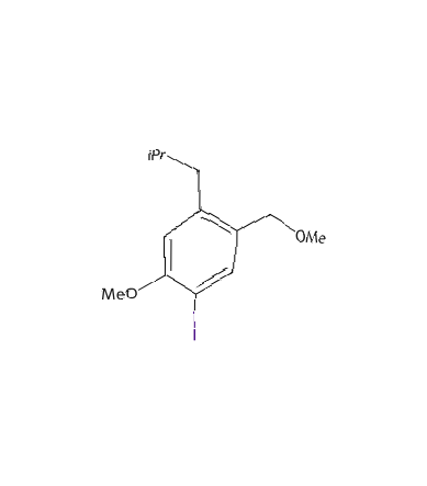 COCc1cc(I)c(OC)cc1CC(C)C